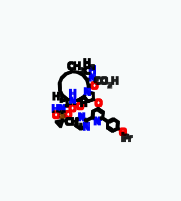 CC(C)Oc1ccc(-c2cc(O[C@@H]3C[C@H]4C(=O)NC5(C(=O)NS(=O)(=O)C6(C)CC6)C[C@H]5/C=C\CC[C@@H](C)C[C@@H](C)[C@H](NC(=O)O)C(=O)N4C3)cc(-c3ncccn3)n2)cc1